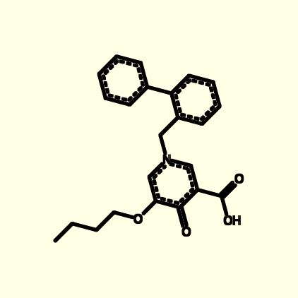 CCCCOc1cn(Cc2ccccc2-c2ccccc2)cc(C(=O)O)c1=O